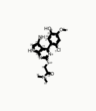 COc1cc(Cl)c(-c2nc(SCC(=O)N(C)C)nc3[nH]cc(N)c23)cc1O